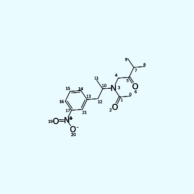 CC(=O)N(CC(=O)C(C)C)C(C)Cc1cccc([N+](=O)[O-])c1